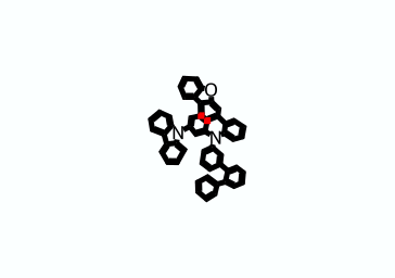 c1ccc(-c2ccccc2-c2cccc(N(c3cccc(-n4c5ccccc5c5ccccc54)c3)c3ccccc3-c3ccc4c(c3)oc3ccccc34)c2)cc1